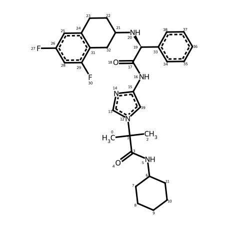 CC(C)(C(=O)NC1CCCCC1)n1cnc(NC(=O)[C@@H](NC2CCc3cc(F)cc(F)c3C2)c2ccccc2)c1